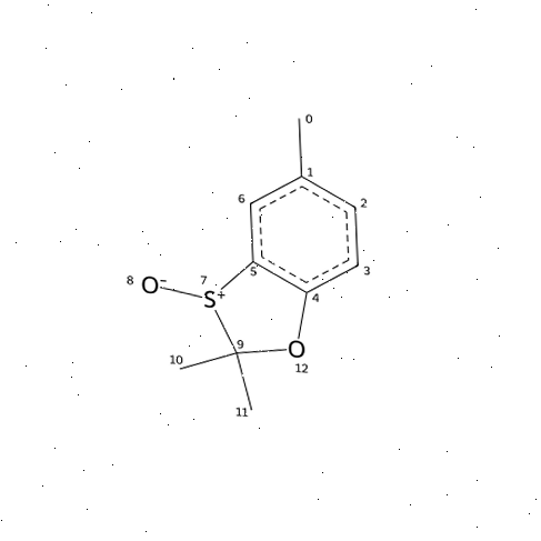 Cc1ccc2c(c1)[S+]([O-])C(C)(C)O2